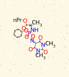 CCCOC(=O)[C@H](C)NP(=O)(ON=C1C(=O)N(C)C(=O)N(C)C1=O)Oc1ccccc1